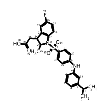 CC(C)c1cccc(Nc2ccc(S(=O)(=O)N3c4ccc(F)cc4C(CC(=O)O)C3C)cc2)c1